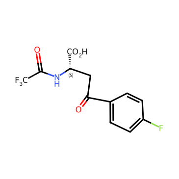 O=C(C[C@H](NC(=O)C(F)(F)F)C(=O)O)c1ccc(F)cc1